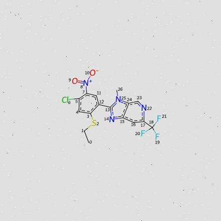 CCSc1cc(Cl)c([N+](=O)[O-])cc1-c1nc2cc(C(F)(F)F)ncc2n1C